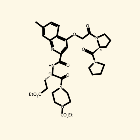 CCOC(=O)CC[C@H](NC(=O)c1cc(OCC(=O)N2CCC[C@H]2C(=O)N2CCCC2)c2ccc(C)cc2n1)C(=O)N1CCN(C(=O)OCC)CC1